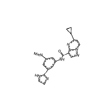 CNc1cc(NC(=O)c2cnn3ccc(C4CC4)nc23)cc(-c2ncc[nH]2)c1